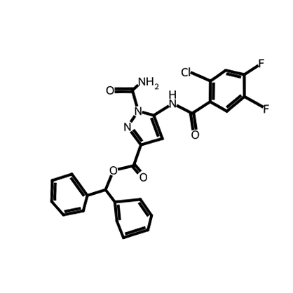 NC(=O)n1nc(C(=O)OC(c2ccccc2)c2ccccc2)cc1NC(=O)c1cc(F)c(F)cc1Cl